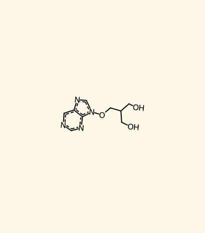 OCC(CO)COn1cnc2cncnc21